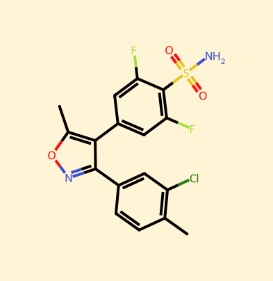 Cc1ccc(-c2noc(C)c2-c2cc(F)c(S(N)(=O)=O)c(F)c2)cc1Cl